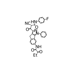 CCC(=O)C(=O)Nc1ccc2c(c1)-c1c(c(C(=O)C(C#N)C(=O)Nc3ccc(F)cc3)nn1-c1ccccc1)C2